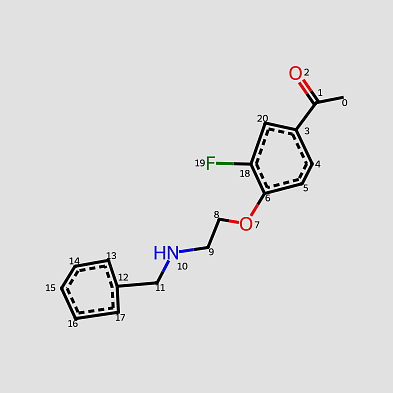 CC(=O)c1ccc(OCCNCc2ccccc2)c(F)c1